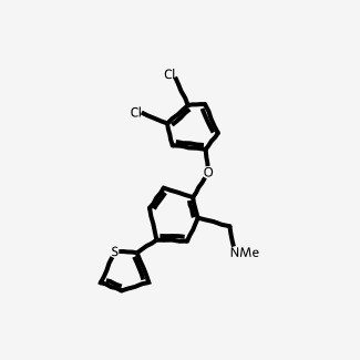 CNCc1cc(-c2cccs2)ccc1Oc1ccc(Cl)c(Cl)c1